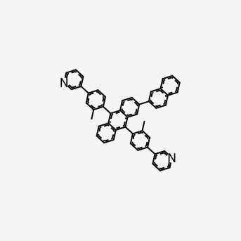 Cc1cc(-c2cccnc2)ccc1-c1c2ccccc2c(-c2ccc(-c3cccnc3)cc2C)c2cc(-c3ccc4ccccc4c3)ccc12